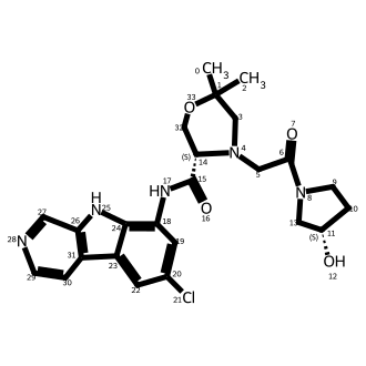 CC1(C)CN(CC(=O)N2CC[C@H](O)C2)[C@H](C(=O)Nc2cc(Cl)cc3c2[nH]c2cnccc23)CO1